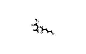 COC(=O)[C@@H](NC(=O)CCCBr)C(C)C